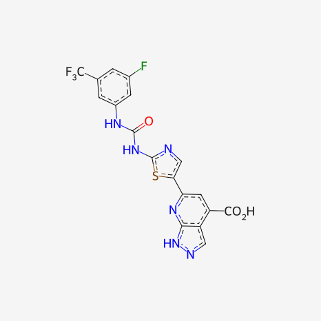 O=C(Nc1cc(F)cc(C(F)(F)F)c1)Nc1ncc(-c2cc(C(=O)O)c3cn[nH]c3n2)s1